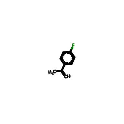 [CH]=C(C)c1ccc(F)cc1